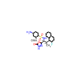 COc1cc(N)ccc1S(=O)(=O)N[C@H](c1n[nH]c(=O)o1)[C@H](C)c1c(F)ccc2ccccc12